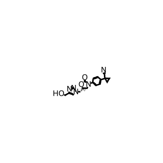 N#CC1(c2ccc(N3C[C@H](Cn4cc(CO)nn4)OC3=O)cc2)CC1